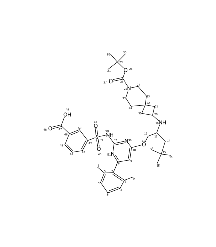 Cc1cccc(C)c1-c1cc(OCC(CC(C)(C)C)NC2CC3(CCN(C(=O)OC(C)(C)C)CC3)C2)nc(NS(=O)(=O)c2cccc(C(=O)O)c2)n1